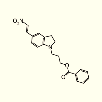 O=C(OCCCN1CCc2cc(C=C[N+](=O)[O-])ccc21)c1ccccc1